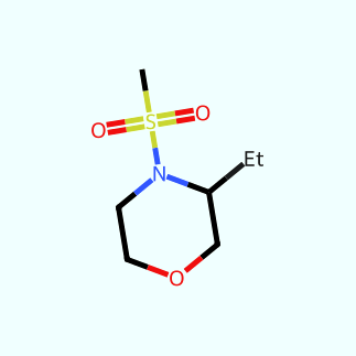 CCC1COCCN1S(C)(=O)=O